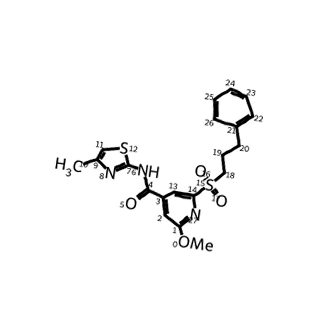 COc1cc(C(=O)Nc2nc(C)cs2)cc(S(=O)(=O)CCCc2ccccc2)n1